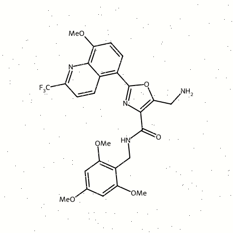 COc1cc(OC)c(CNC(=O)c2nc(-c3ccc(OC)c4nc(C(F)(F)F)ccc34)oc2CN)c(OC)c1